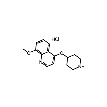 COc1cccc2c(OC3CCNCC3)ccnc12.Cl